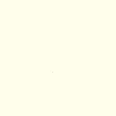 Cc1ccc(C2=C(N(C)C)C=CC[CH]2)cc1